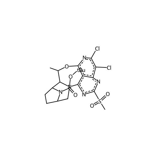 CC1Oc2nc(Cl)c(Cl)c3nc(S(C)(=O)=O)nc(c23)N2CC3CCC(C12)N3C(=O)OC(C)(C)C